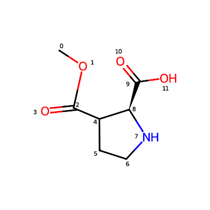 COC(=O)C1CCN[C@@H]1C(=O)O